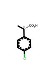 C[C@H](C(=O)O)c1ccc(Cl)cc1